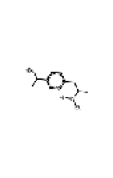 CCCCC(C)c1ccc(CC(C)N(CC)CC)cc1